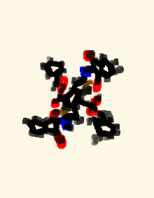 O=C(OCc1ccccc1)c1c2cc(N=c3c(=O)c4ccccc4c3=O)sc2c(C(=O)OCc2ccccc2)c2cc(N=c3c(=O)c4ccccc4c3=O)sc12